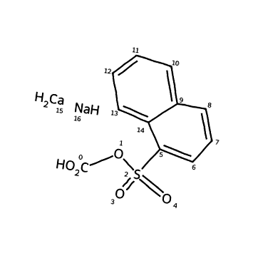 O=C(O)OS(=O)(=O)c1cccc2ccccc12.[CaH2].[NaH]